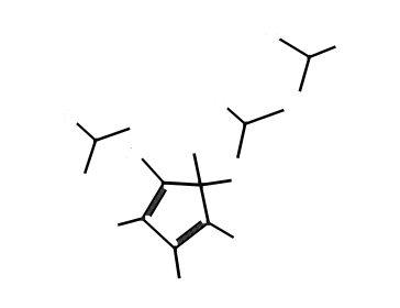 CC(C)[O-].CC(C)[O-].CC(C)[O-].CC1=C(C)C(C)(C)[C]([Zr+3])=C1C